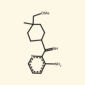 COCC1(C)CCC(C(=N)c2ncccc2N)CC1